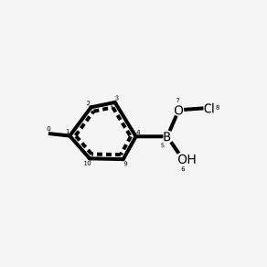 Cc1ccc(B(O)OCl)cc1